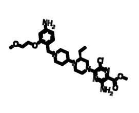 CC[C@H]1CN(c2nc(N)c(C(=O)OC)nc2Cl)CCN1C1CCN(Cc2ccc(N)cc2OCCOC)CC1